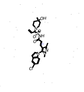 C=CC(N1CCC(C)(O)CC1)S(=O)(=O)NC(=O)/C=C/c1c(C)nn(C)c1-n1ccc2cc(Cl)ccc21